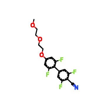 COCCOCCOc1cc(F)c(-c2cc(F)c(C#N)c(F)c2)c(F)c1